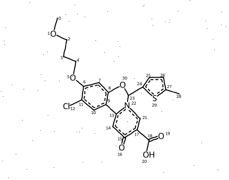 COCCCOc1cc2c(cc1Cl)-c1cc(=O)c(C(=O)O)cn1C(c1ccc(C)s1)O2